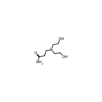 NC(=O)[CH]CN(CCO)CCO